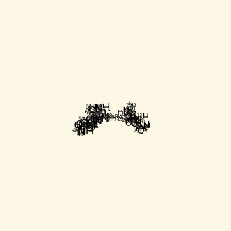 CN[C@@H](C)C(=O)N[C@H](C(=O)N1CCC[C@H]1c1nc(C(=O)NCCCCCCCCNC(=O)c2nc([C@@H]3CCCN3C(=O)[C@@H](NC(=O)[C@H](C)NC)C(C)(C)C)oc2-c2c[nH]c3ccccc23)c(-c2c[nH]c3ccccc23)o1)C(C)(C)C